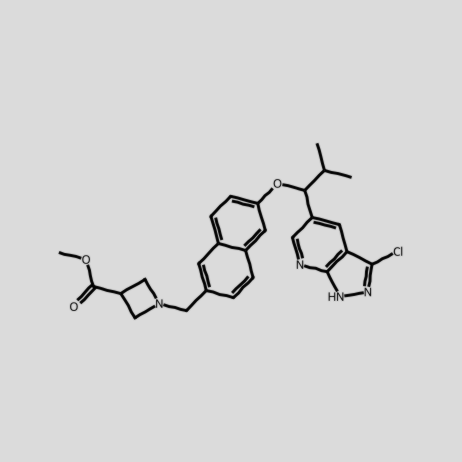 COC(=O)C1CN(Cc2ccc3cc(OC(c4cnc5[nH]nc(Cl)c5c4)C(C)C)ccc3c2)C1